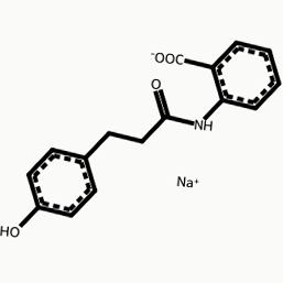 O=C(CCc1ccc(O)cc1)Nc1ccccc1C(=O)[O-].[Na+]